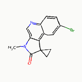 CN1C(=O)C2(CC2)c2c1cnc1ccc(Br)cc21